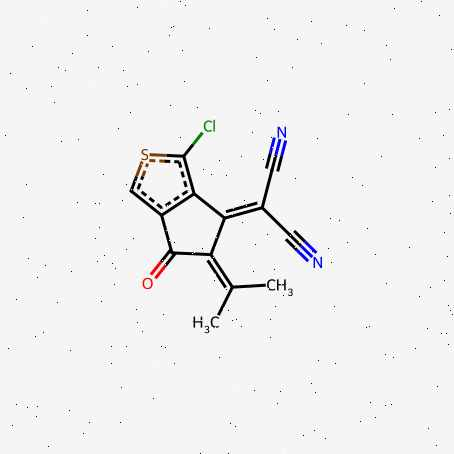 CC(C)=C1C(=O)c2csc(Cl)c2C1=C(C#N)C#N